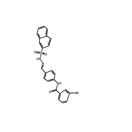 O=C(Nc1ccc(C=NNS(=O)(=O)c2ccc3ccccc3c2)cc1)c1cccc(Br)c1